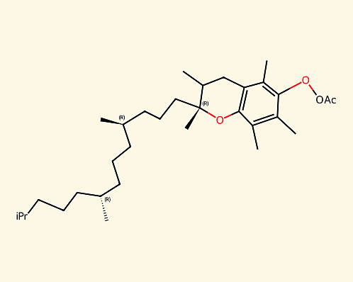 CC(=O)OOc1c(C)c(C)c2c(c1C)CC(C)[C@@](C)(CCC[C@H](C)CCC[C@H](C)CCCC(C)C)O2